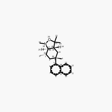 C[C@H]1C[C@@](C)(c2cccc3ccccc23)C[C@@H]2[C@@H]1N(C)OC2(C)C